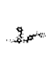 N=C(N)NCCc1ccc(C(=O)NC[C@@H]2C[C@@H](CC(=O)O)C(=O)N2CCCc2ccccc2)cc1